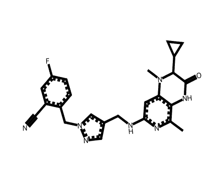 Cc1nc(NCc2cnn(Cc3ccc(F)cc3C#N)c2)cc2c1NC(=O)C(C1CC1)N2C